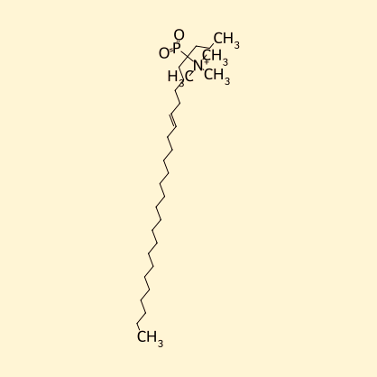 CCCCCCCCCCCCCCCCCCC=CCCCCC(CCC)(P(=O)=O)[N+](C)(C)C